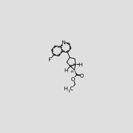 CCOC(=O)[C@H]1[C@@H]2CC(c3ccnc4ccc(F)cc34)C[C@@H]21